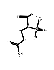 N=C(N)N(CCC(=O)O)P(=O)(O)O